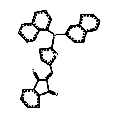 O=C1C(=Cc2ccc(N(c3ccc4ccccc4c3)c3cccc4ccccc34)s2)C(=O)c2ccccc21